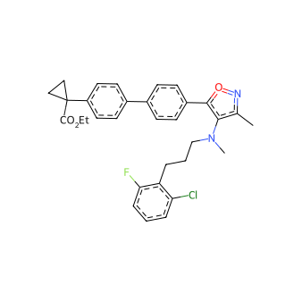 CCOC(=O)C1(c2ccc(-c3ccc(-c4onc(C)c4N(C)CCCc4c(F)cccc4Cl)cc3)cc2)CC1